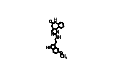 COc1ccc2[nH]cc(CCNc3ncc4c(n3)-c3ccccc3NC(=O)C4)c2c1